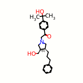 CC(C)(O)c1ccc(C(=O)CN2C[C@@H](CCCc3ccccc3)[C@@H](CO)C2)cc1